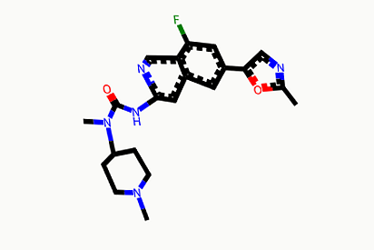 Cc1ncc(-c2cc(F)c3cnc(NC(=O)N(C)C4CCN(C)CC4)cc3c2)o1